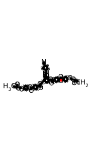 C=CC(=O)OCOc1ccc(OC(=O)C2CCC(C(=O)Oc3ccc(CCOC(=O)C4CCC(C(=O)Oc5ccc(OCOC(=O)CC)cc5)CC4)c4sc(/N=N/c5ccc(C#N)cc5)nc34)CC2)cc1